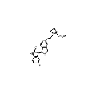 CCOC(=O)[C@@H]1CCCN1CCc1ccc2c(c1)COC2=C1C(=O)Nc2ccc(F)cc21